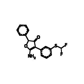 NC1=C(c2cccc(SC(F)F)c2)C(=O)C(c2ccccc2)O1